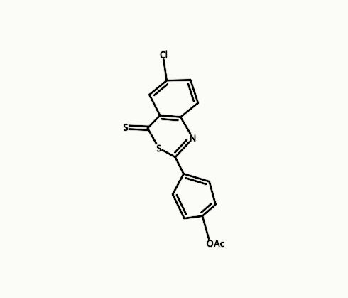 CC(=O)Oc1ccc(-c2nc3ccc(Cl)cc3c(=S)s2)cc1